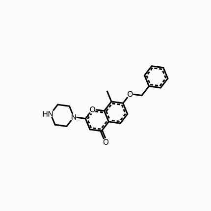 Cc1c(OCc2ccccc2)ccc2c(=O)cc(N3CCNCC3)oc12